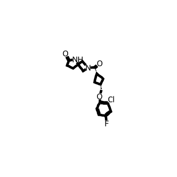 O=C1CCC2(CN(C(=O)[C@H]3C[C@@H](COc4ccc(F)cc4Cl)C3)C2)N1